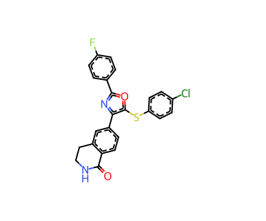 O=C1NCCc2cc(-c3nc(-c4ccc(F)cc4)oc3Sc3ccc(Cl)cc3)ccc21